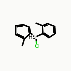 Cc1ccccc1[SiH](Cl)c1ccccc1C